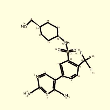 Cc1nc(N)ncc1-c1ccc(C(F)(F)F)c(S(=O)(=O)N[C@H]2CC[C@@H](CO)CC2)c1